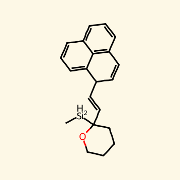 C[SiH2]C1(C=CC2C=Cc3cccc4cccc2c34)CCCCO1